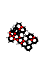 c1ccc(-c2cccc3cccc(-c4ccccc4N(c4cccc(-c5cccc6sc7ccccc7c56)c4)c4ccccc4-c4cccc5cccc(C6CCCCC6)c45)c23)cc1